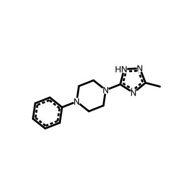 Cc1n[nH]c(N2CCN(c3ccccc3)CC2)n1